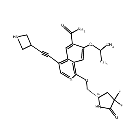 CC(C)Oc1cc2c(OC[C@@H]3CC(F)(F)C(=O)N3)ncc(C#CC3CNC3)c2cc1C(N)=O